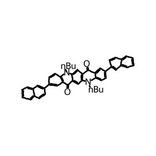 CCCCn1c2ccc(-c3ccc4ccccc4c3)cc2c(=O)c2cc3c(cc21)c(=O)c1cc(-c2ccc4ccccc4c2)ccc1n3CCCC